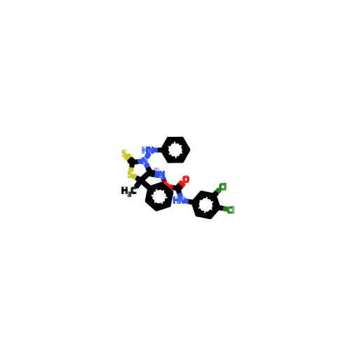 CC1(c2ccccc2)SC(=S)N(Nc2ccccc2)/C1=N/OC(=O)Nc1ccc(Cl)c(Cl)c1